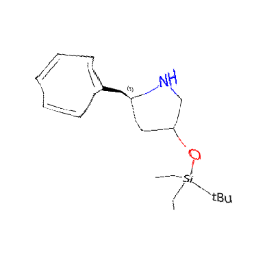 CC(C)(C)[Si](C)(C)OC1CN[C@H](c2ccccc2)C1